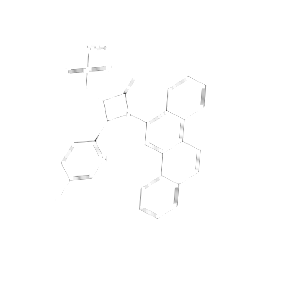 CNS(=O)(=O)O[C@@H]1C(=O)N(c2cc3c4ccccc4ccc3c3ccccc23)[C@H]1c1ccc(F)cn1